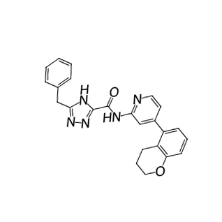 O=C(Nc1cc(-c2cccc3c2CCCO3)ccn1)c1nnc(Cc2ccccc2)[nH]1